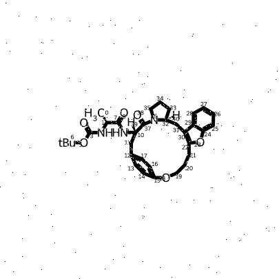 C[C@H](NC(=O)OC(C)(C)C)C(=O)N[C@H]1Cc2ccc(cc2)OCCCc2oc3ccccc3c2C[C@@H]2CCCN2C1=O